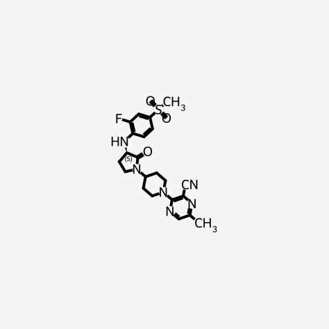 Cc1cnc(N2CCC(N3CC[C@H](Nc4ccc(S(C)(=O)=O)cc4F)C3=O)CC2)c(C#N)n1